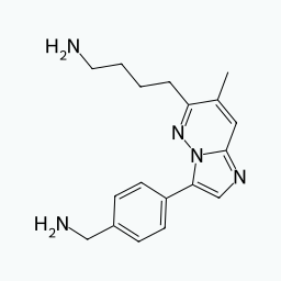 Cc1cc2ncc(-c3ccc(CN)cc3)n2nc1CCCCN